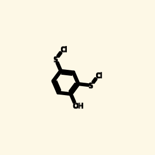 Oc1ccc(SCl)cc1SCl